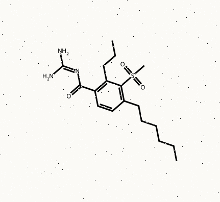 CCCCCCc1ccc(C(=O)N=C(N)N)c(CCC)c1S(C)(=O)=O